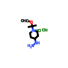 CC(C)(OC=O)N1CCC(NN)CC1.Cl.Cl